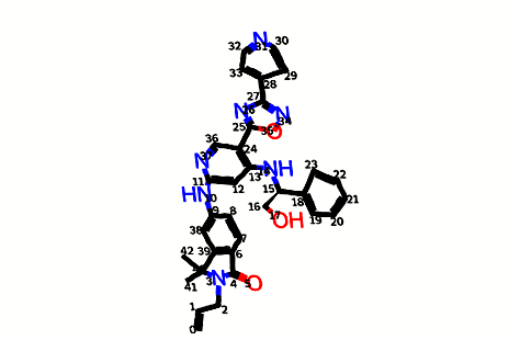 C=CCN1C(=O)c2ccc(Nc3cc(N[C@H](CO)c4ccccc4)c(-c4nc(-c5ccncc5)no4)cn3)cc2C1(C)C